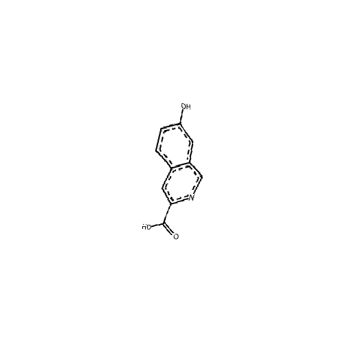 O=C(O)c1cc2ccc(O)cc2cn1